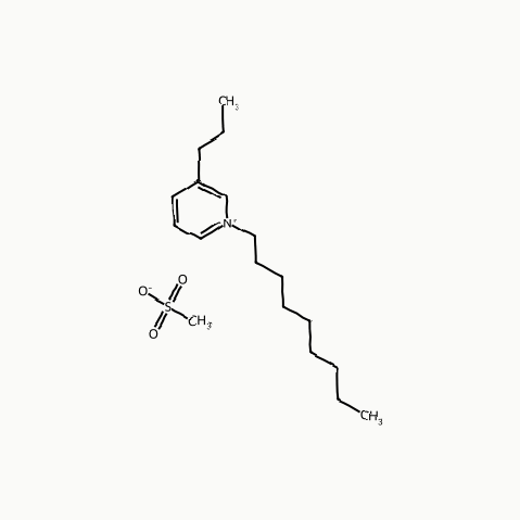 CCCCCCCCC[n+]1cccc(CCC)c1.CS(=O)(=O)[O-]